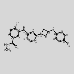 CNC(=O)c1ccc(F)c(Nc2ncnc(N3CC(Oc4ccc(F)cc4)C3)n2)c1